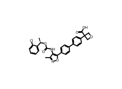 Cc1noc(-c2ccc(-c3ccc(C4(C(=O)O)COC4)cc3)cc2)c1NC(=O)O[C@H](C)c1ccccc1Cl